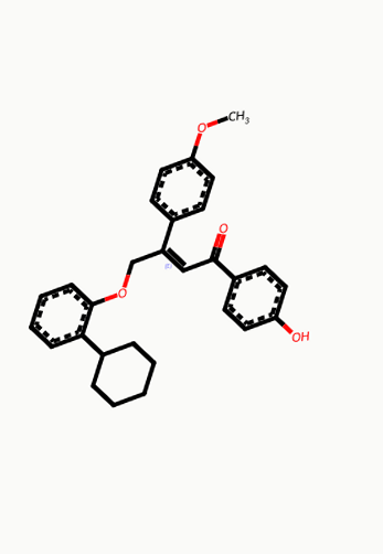 COc1ccc(/C(=C\C(=O)c2ccc(O)cc2)COc2ccccc2C2CCCCC2)cc1